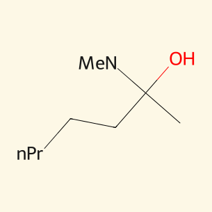 CCCCCC(C)(O)NC